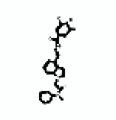 CC1C=C(C(=O)N/N=C/c2cccc3c2ccn3CC(=O)N(C)C2CCCCC2)C=C(Cl)C1O